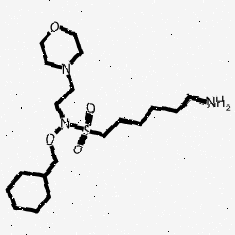 NCCCCCCS(=O)(=O)N(CCN1CCOCC1)OCC1CCCCC1